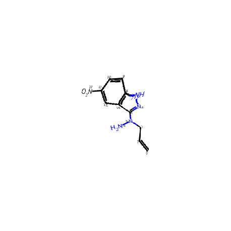 C=CCN(N)c1n[nH]c2ccc([N+](=O)[O-])cc12